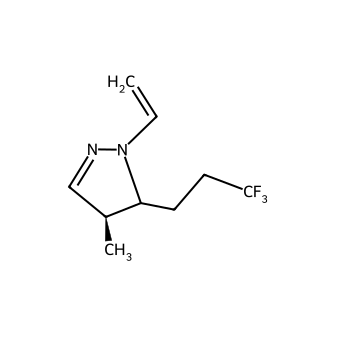 C=CN1N=C[C@H](C)C1CCC(F)(F)F